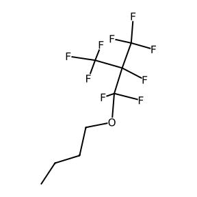 CCCCOC(F)(F)C(F)(C(F)(F)F)C(F)(F)F